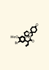 C=CC(C(=O)NCC1(N2CCCC2)CCC(=O)CC1)c1ccc(OC)c(Br)c1